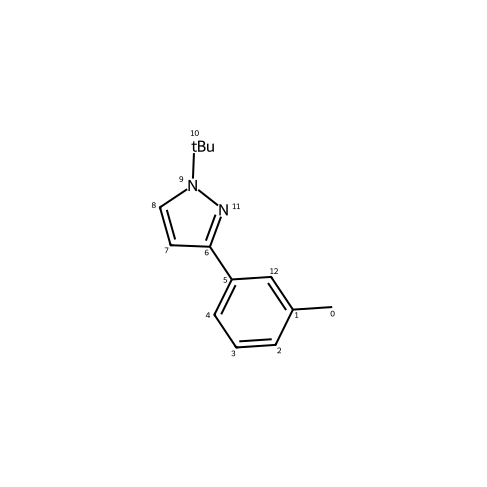 Cc1cccc(-c2ccn(C(C)(C)C)n2)c1